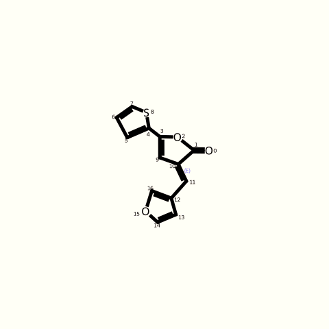 O=C1OC(c2cccs2)=C/C1=C\c1ccoc1